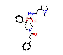 CN1CCCC1CCNC(=O)OC1(c2ccccc2)CCN(C(=O)CCc2ccccc2)CC1